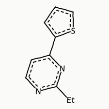 CCc1nccc(-c2cccs2)n1